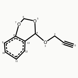 C#CCOC1OCOc2ccccc21